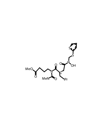 CNC(=O)N(CCCC(=O)OC)C(=O)[C@@H](CC(=O)N(O)CSc1cccs1)CC(C)C